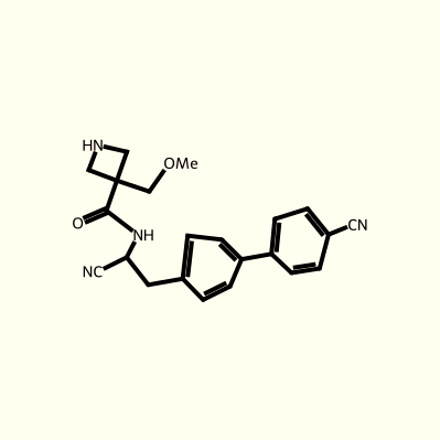 COCC1(C(=O)NC(C#N)Cc2ccc(-c3ccc(C#N)cc3)cc2)CNC1